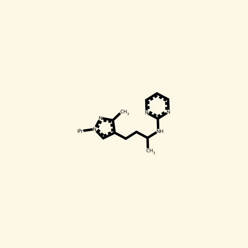 Cc1nn(C(C)C)cc1CCC(C)Nc1ncccn1